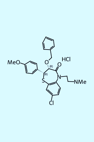 CNCCN1C(=O)[C@@H](OCc2ccccc2)[C@@H](c2ccc(OC)cc2)Sc2cc(Cl)ccc21.Cl